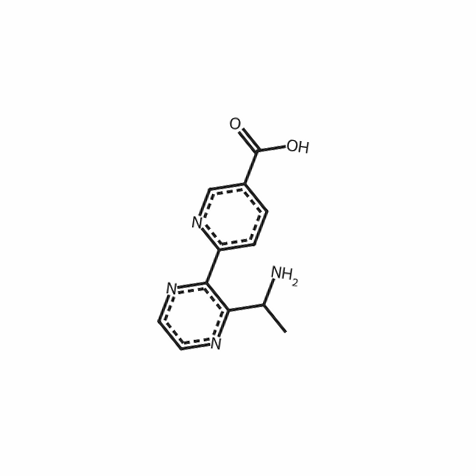 CC(N)c1nccnc1-c1ccc(C(=O)O)cn1